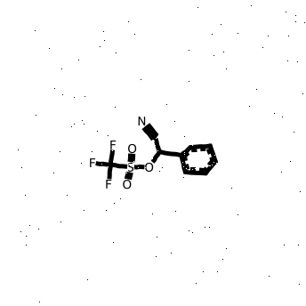 N#CC(OS(=O)(=O)C(F)(F)F)c1ccccc1